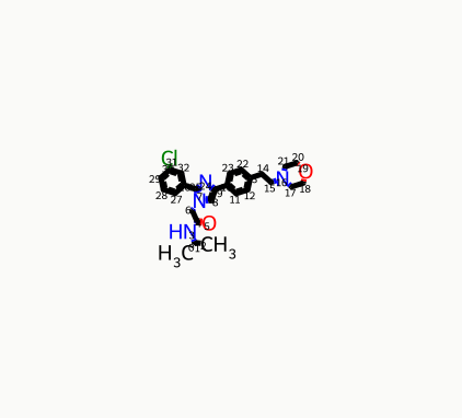 CC(C)NC(=O)Cn1cc(-c2ccc(CCN3CCOCC3)cc2)nc1-c1cccc(Cl)c1